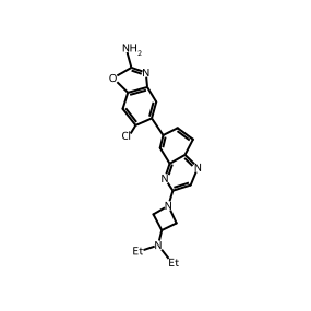 CCN(CC)C1CN(c2cnc3ccc(-c4cc5nc(N)oc5cc4Cl)cc3n2)C1